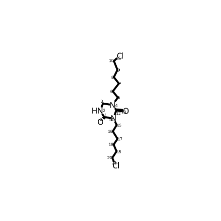 O=C1NCN(CCCCCCCl)C(=O)N1CCCCCCCl